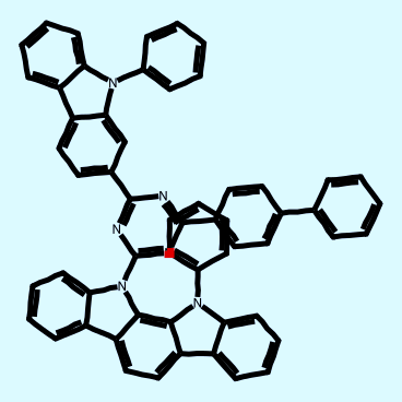 c1ccc(-c2ccc(-c3nc(-c4ccc5c6ccccc6n(-c6ccccc6)c5c4)nc(-n4c5ccccc5c5ccc6c7ccccc7n(-c7ccccc7)c6c54)n3)cc2)cc1